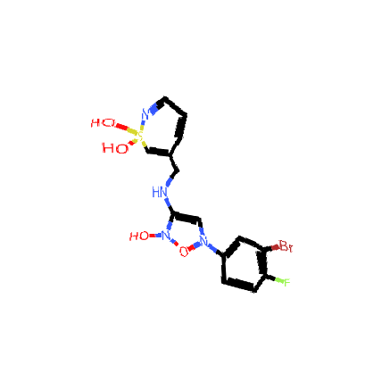 ON1ON(c2ccc(F)c(Br)c2)C=C1NCC1=CS(O)(O)N=CC=C1